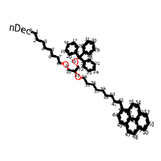 CCCCCCCCCCCCCCCCCCOCC(COC(c1ccccc1)(c1ccccc1)c1ccccc1)OCCCCCCCCCc1ccc2ccc3cccc4ccc1c2c34